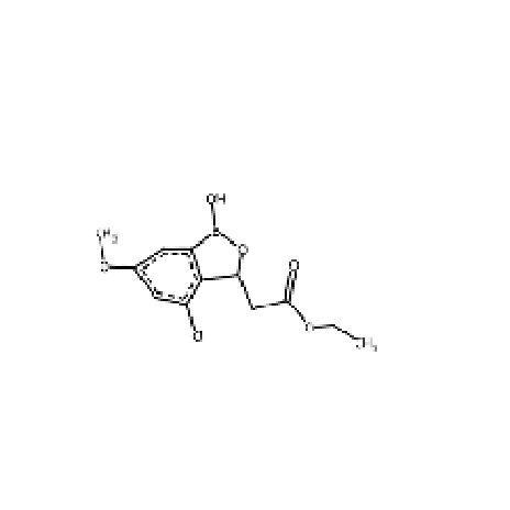 CCOC(=O)CC1OB(O)c2cc(OC)cc(Cl)c21